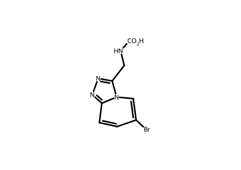 O=C(O)NCc1nnc2ccc(Br)cn12